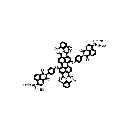 CCCCCCN(CCCCCC)c1ccc2c3c(cccc13)C(=O)N(c1ccc(Oc3cc4c5c(ccc6c7c(Oc8ccc(N9C(=O)c%10cccc%11c(N(CCCCCC)CCCCCC)ccc(c%10%11)C9=O)cc8)cc8c9c(ccc(c3c56)c97)C(=O)N(c3c(C(C)C)cccc3C(C)C)C8=O)C(=O)N(c3c(CC)cccc3C(C)C)C4=O)cc1)C2=O